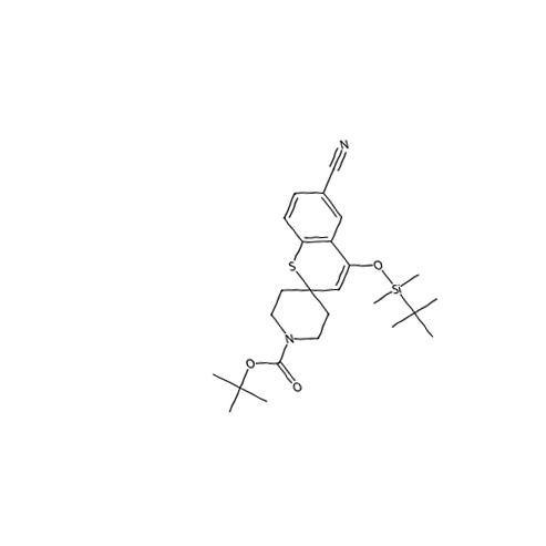 CC(C)(C)OC(=O)N1CCC2(C=C(O[Si](C)(C)C(C)(C)C)c3cc(C#N)ccc3S2)CC1